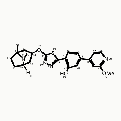 COc1cc(-c2ccc(-c3nnc(O[C@H]4C[C@@H]5CC[C@](C)(C4)N5C)s3)c(O)c2)ccn1